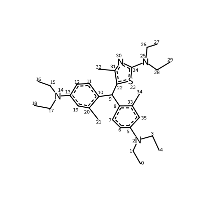 CCN(CC)c1ccc(C(c2ccc(N(CC)CC)cc2C)c2sc(N(CC)CC)nc2C)c(C)c1